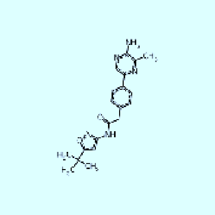 Cc1nc(-c2ccc(CC(=O)Nc3cc(C(C)(C)C)on3)cc2)cnc1N